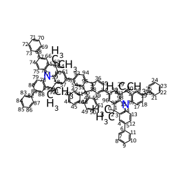 CC1(C)c2cc(-c3ccccc3)ccc2N2c3ccc(-c4ccccc4)cc3C(C)(C)c3cc(-c4ccc5c(c4)C(c4ccccc4)(c4ccccc4)c4cc(-c6cc7c8c(c6)C(C)(C)c6cc(-c9ccccc9)ccc6N8c6ccc(-c8ccccc8)cc6C7(C)C)ccc4-5)cc1c32